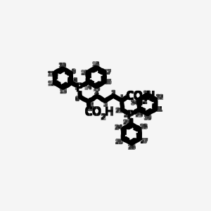 O=C(O)C(CCCC(CP(c1ccccc1)c1ccccc1)C(=O)O)CP(c1ccccc1)c1ccccc1